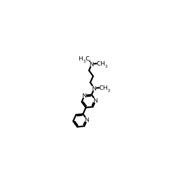 CN(C)CCCN(C)c1ncc(-c2ccccn2)cn1